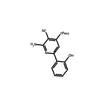 CCCCCc1cc(-c2ccccc2O)nc(N)c1C#N